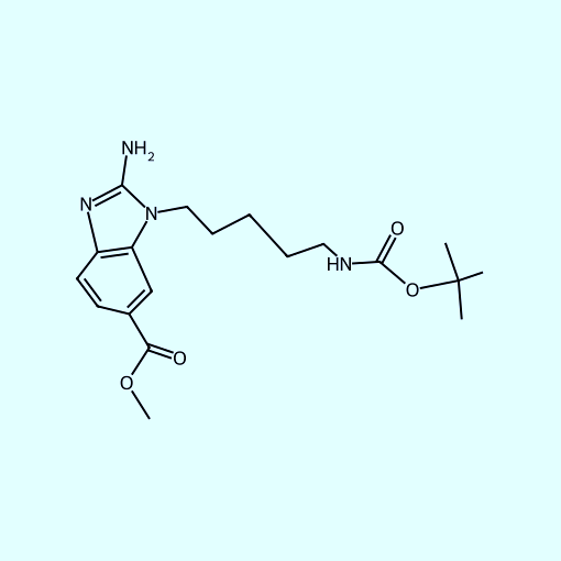 COC(=O)c1ccc2nc(N)n(CCCCCNC(=O)OC(C)(C)C)c2c1